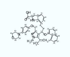 CC(C)c1c(C(CCc2cccc3cc(C(=O)O)[nH]c23)Oc2cccc3ccccc23)c(COc2ccc(N3CCOCC3)cc2)nn1C